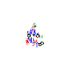 COC(=O)[C@H](CNC(=O)C(=O)NCC1CCc2ccccc21)NC(=O)c1ccc(Nc2nc(NC3(c4ccc(Cl)cc4)CC3)nc(OCC(F)(F)F)n2)cc1